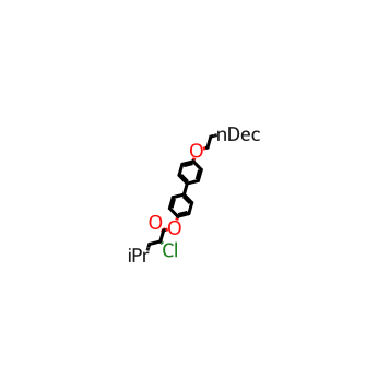 CCCCCCCCCCCCOc1ccc(-c2ccc(OC(=O)C(Cl)CC(C)C)cc2)cc1